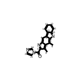 CC1=c2c(cc3c(c2C)N=c2ccccc2=3)N=C1C(=O)n1ccnc1